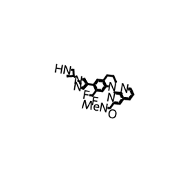 CNC(=O)c1cc2cccnc2c(N2CCCc3cc(-c4cnn(C5CNC5)c4)c(C(F)F)cc32)n1